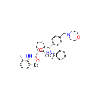 CCOC(=O)C1=C(C(=O)Nc2c(C)cccc2CC)C2C=CC1(C(Nc1ccccc1)c1ccc(CN3CCOCC3)cc1)O2